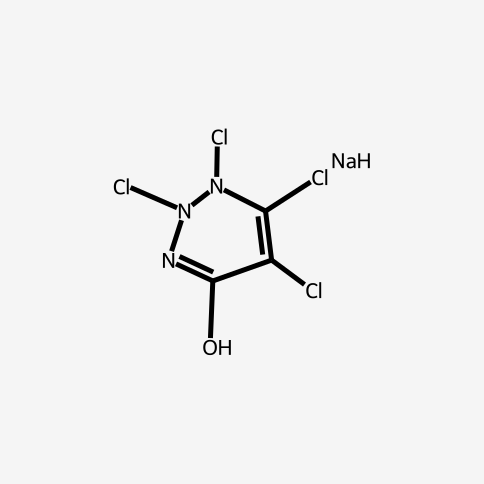 OC1=NN(Cl)N(Cl)C(Cl)=C1Cl.[NaH]